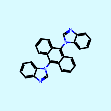 c1ccc2c(c1)ncn2-c1c2ccccc2c(-n2cnc3ccccc32)c2ccccc12